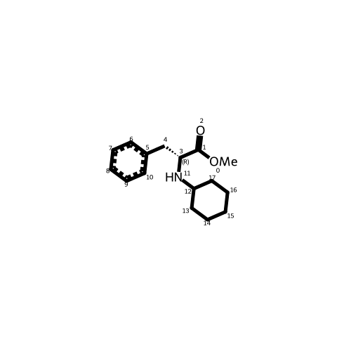 COC(=O)[C@@H](Cc1ccccc1)NC1CCCCC1